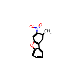 CC1Cc2c(oc3ccccc23)C=C1[N+](=O)[O-]